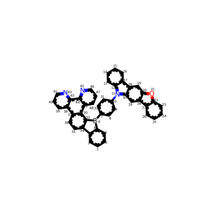 c1ccc2c(c1)B(c1ccc(-n3c4ccccc4c4cc5oc6ccccc6c5cc43)cc1)c1c-2ccc2c3cccnc3c3ncccc3c12